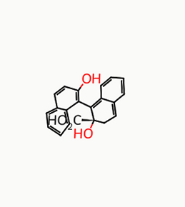 O=C(O)[C@]1(O)CC=c2ccccc2=C1c1c(O)ccc2ccccc12